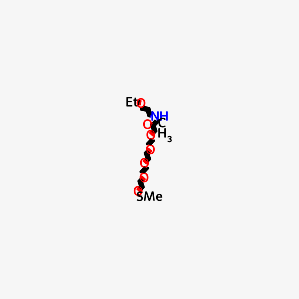 CCOCCCNC(C)C(=O)COCCOCCOCCOCCOSC